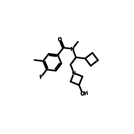 Cc1cc(C(=O)N(C)C(CN2CC(O)C2)C2CCC2)ccc1F